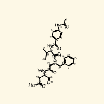 CC(=O)Nc1ccc(C(=O)N[C@H](C(=O)N(CC(=O)NC(C=O)CC(=O)O)Cc2ccccc2)C(C)C)cc1